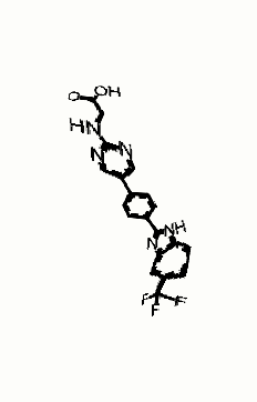 O=C(O)CNc1ncc(-c2ccc(-c3nc4cc(C(F)(F)F)ccc4[nH]3)cc2)cn1